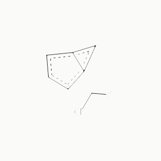 ClCCl.c1cc2cc-2c1